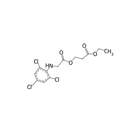 CCOC(=O)CCOC(=O)CNc1c(Cl)cc(Cl)cc1Cl